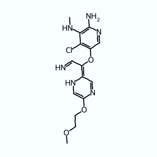 CNc1c(N)ncc(O/C(C=N)=C2\C=NC(OCCOC)=CN2)c1Cl